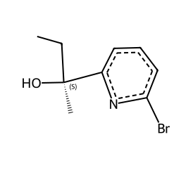 CC[C@](C)(O)c1cccc(Br)n1